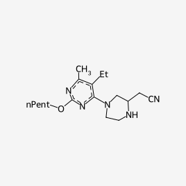 CCCCCOc1nc(C)c(CC)c(N2CCNC(CC#N)C2)n1